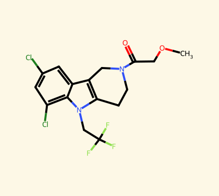 COCC(=O)N1CCc2c(c3cc(Cl)cc(Cl)c3n2CC(F)(F)F)C1